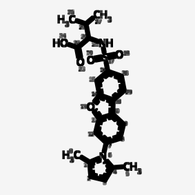 Cc1ccc(C)n1-c1ccc2c(c1)oc1cc(S(=O)(=O)NC(C(=O)O)C(C)C)ccc12